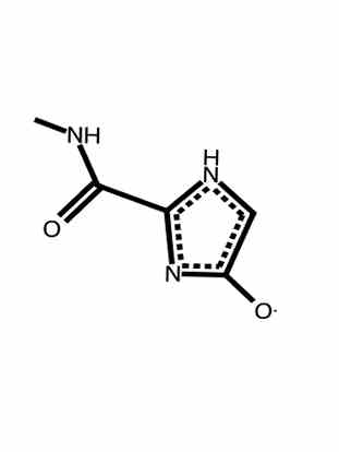 CNC(=O)c1nc([O])c[nH]1